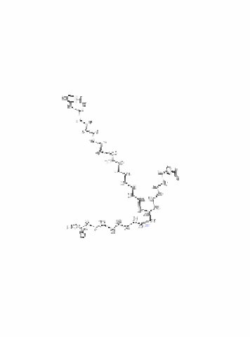 CCCCCCCCCCCCCCCCCCC=CC(/C=C\CCCCCCCC(=O)O)CCCCCCC